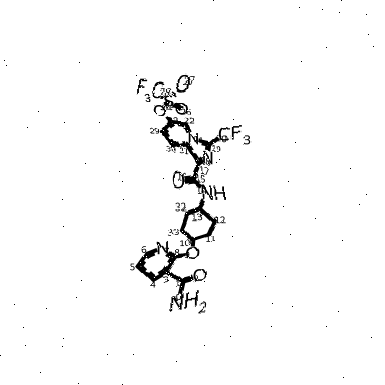 NC(=O)c1cccnc1OC1CCC(NC(=O)c2nc(C(F)(F)F)n3cc(OS(=O)(=O)C(F)(F)F)ccc23)CC1